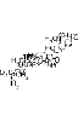 CC(C)C1=C2C(CC[C@]3(C)[C@@H]2CC[C@@H]2[C@@]4(C)CC[C@H](OC(=O)CC(C)(C)C(=O)O)C(C)(C)[C@@H]4CC[C@]23C)[C@H]([C@@H](O)CN(CCN(C)C)Cc2ccc(OC(F)(F)F)cc2)C1=O